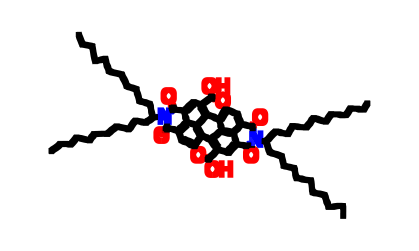 CCCCCCCCCCCC(CCCCCCCCCCC)N1C(=O)c2ccc3c4c(C(=O)O)cc5c6c(ccc(c7c(C(=O)O)cc(c2c37)C1=O)c64)C(=O)N(C(CCCCCCCCCCC)CCCCCCCCCCC)C5=O